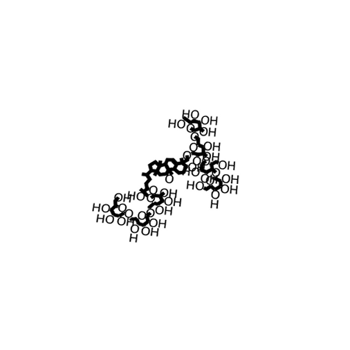 CC(CCC(OC1OC(COC2OC(COC3OC(CO)C(O)C(O)C3O)C(O)C(O)C2O)C(O)C(O)C1O)C(C)(C)O)C1CCC2(C)C3CC=C4C(CCC(O)C4(C)COC4OC(COC5OC(CO)C(O)C(O)C5O)C(O)C(O)C4OC4OC(CO)C(OC5OC(CO)C(O)C(O)C5O)C(O)C4O)C3(C)C(=O)CC12C